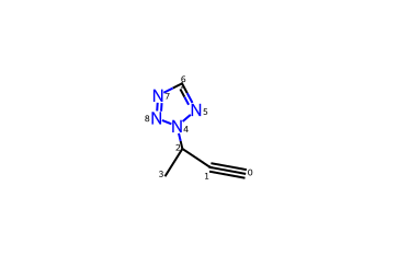 C#CC(C)n1n[c]nn1